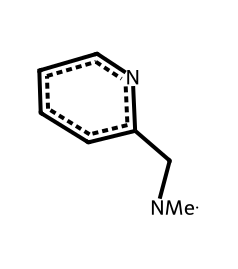 C[N]Cc1ccccn1